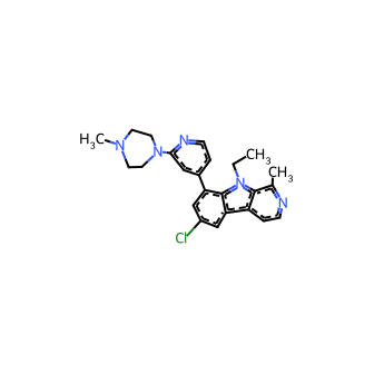 CCn1c2c(-c3ccnc(N4CCN(C)CC4)c3)cc(Cl)cc2c2ccnc(C)c21